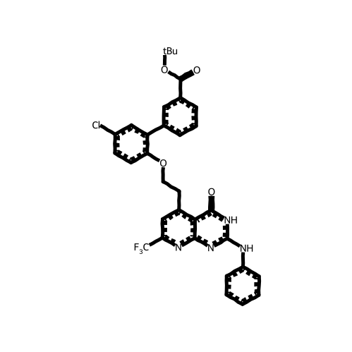 CC(C)(C)OC(=O)c1cccc(-c2cc(Cl)ccc2OCCc2cc(C(F)(F)F)nc3nc(Nc4ccccc4)[nH]c(=O)c23)c1